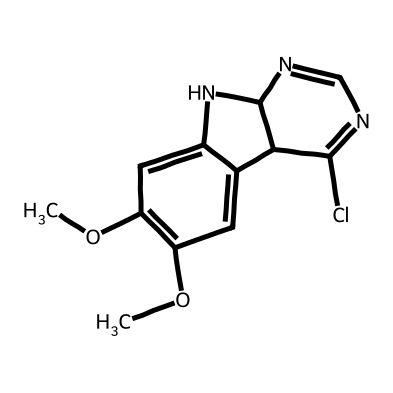 COc1cc2c(cc1OC)C1C(Cl)=NC=NC1N2